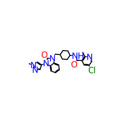 Cc1ncc(Cl)cc1C(=O)NC1CCC(Cn2c(=O)n(-c3cnn(C)c3)c3ccccc32)CC1